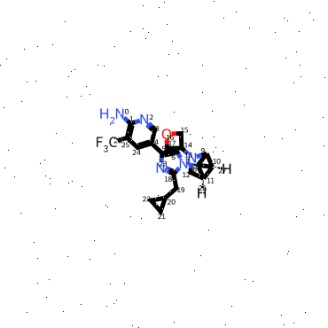 Nc1ncc(-c2cn([C@@]34C5[C@H]3[C@H]4CN5C3COC3)c(CC3CC3)n2)cc1C(F)(F)F